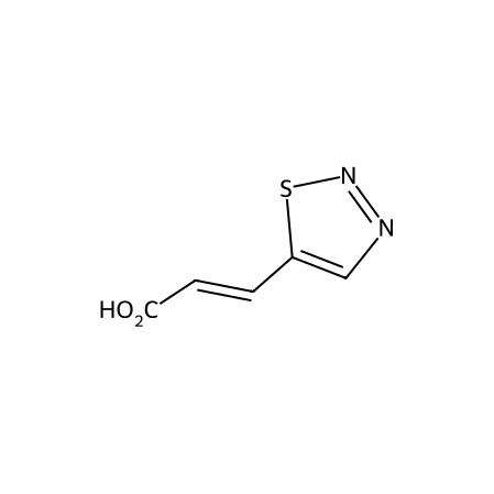 O=C(O)/C=C/c1cnns1